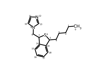 CCCCCC1SC(Cn2ccnc2)c2ccccc21